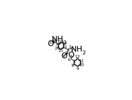 NCC(C(=O)OCc1ccccc1)c1ccc(C(N)=O)cc1